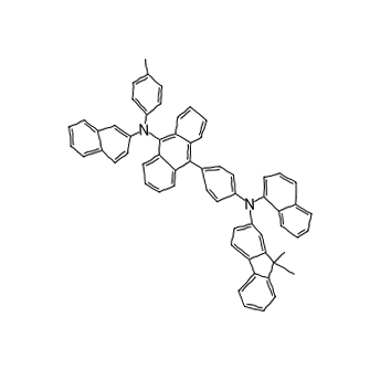 Cc1ccc(N(c2ccc3ccccc3c2)c2c3ccccc3c(-c3ccc(N(c4ccc5c(c4)C(C)(C)c4ccccc4-5)c4cccc5ccccc45)cc3)c3ccccc23)cc1